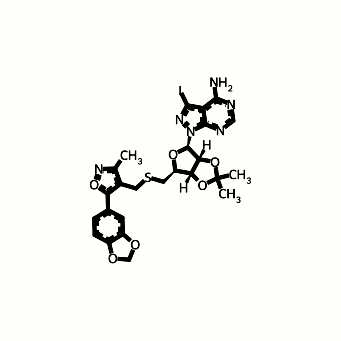 Cc1noc(-c2ccc3c(c2)OCO3)c1CSC[C@H]1O[C@@H](n2nc(I)c3c(N)ncnc32)[C@@H]2OC(C)(C)O[C@@H]21